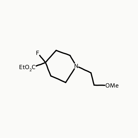 CCOC(=O)C1(F)CCN(CCOC)CC1